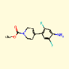 CC(C)(C)OC(=O)N1CC=C(c2cc(F)c(N)cc2F)CC1